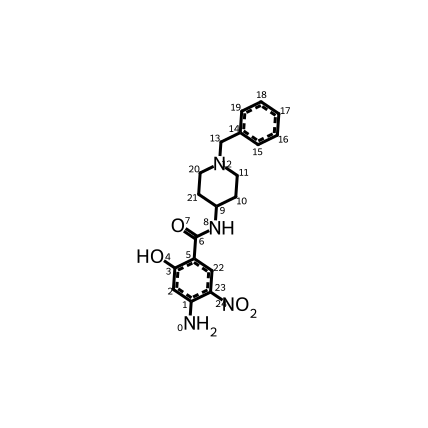 Nc1cc(O)c(C(=O)NC2CCN(Cc3ccccc3)CC2)cc1[N+](=O)[O-]